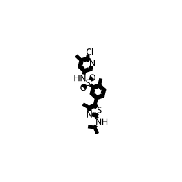 Cc1ccc(-c2sc(NC(C)C)nc2C)cc1S(=O)(=O)Nc1cnc(Cl)c(C)c1